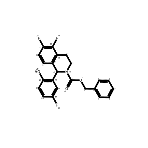 O=C(OCc1ccccc1)N1CCc2c(ccc(F)c2F)C1c1cc(F)ccc1O